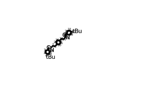 CC(C)(C)c1ccc2oc(C=Cc3ccc(C=Cc4nc5cc(C(C)(C)C)ccc5o4)cc3)nc2c1